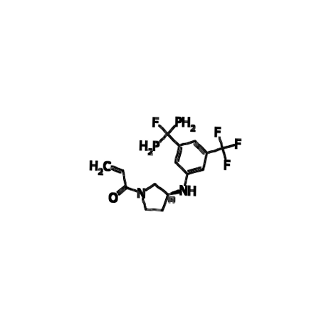 C=CC(=O)N1CC[C@H](Nc2cc(C(F)(F)F)cc(C(F)(P)P)c2)C1